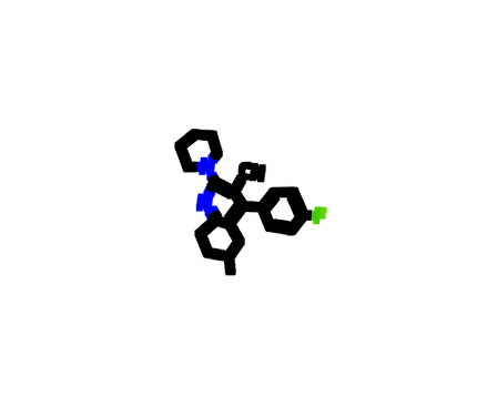 CC1CCc2nc(N3CCCCC3)c(C#N)c(-c3ccc(F)cc3)c2C1